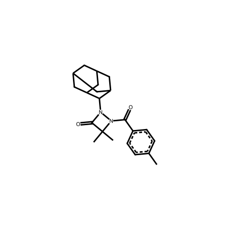 Cc1ccc(C(=O)N2N(C3C4CC5CC(C4)CC3C5)C(=O)C2(C)C)cc1